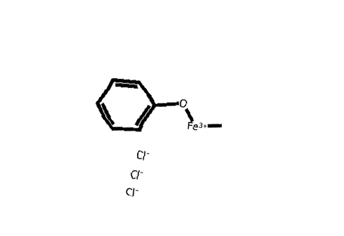 [CH3][Fe+3][O]c1ccccc1.[Cl-].[Cl-].[Cl-]